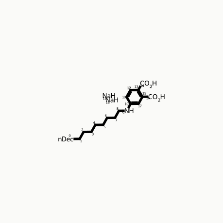 CCCCCCCCCCCCCCCCCCNc1ccc(C(=O)O)c(C(=O)O)c1.[NaH].[NaH]